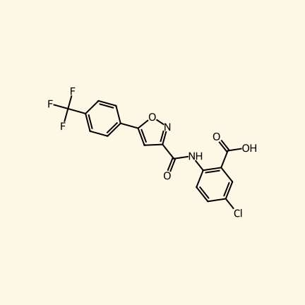 O=C(Nc1ccc(Cl)cc1C(=O)O)c1cc(-c2ccc(C(F)(F)F)cc2)on1